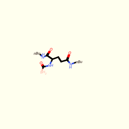 BC(=O)NC(CCC(=O)NCCCC)C(=O)NCCCC